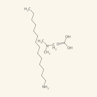 CCCCCCCCCCCCCCN.CN(C)C.O=C(O)O